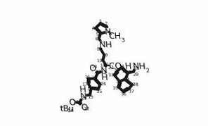 Cn1cccc1CNCCC[C@H](NC(=O)c1ccc(CNC(=O)OC(C)(C)C)cc1)C(=O)O.NCc1cccc2ccccc12